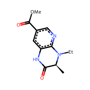 CCN1c2ncc(C(=O)OC)cc2NC(=O)[C@@H]1C